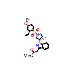 C=Cc1cc(OCC)ccc1S(=O)(=O)N1C[C@@H](C)[C@@H](n2nc(CC(=O)OC)c3ccccc32)C1